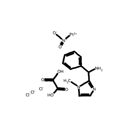 Cn1ccnc1C(N)c1ccccc1.O=C(O)C(=O)O.O=[N+]([O-])[Pt+3].[Cl-].[Cl-].[Cl-]